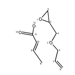 C=CCOCC1CO1.CC=CC([O])=O